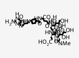 CNC(=O)C[C@@H](NC(=O)[C@H](CCC(=O)O)NC(=O)C[C@@H](NC(=O)CC[C@H](NC(=O)c1ccc(NCc2cnc3nc(N)[nH]c(=O)c3n2)cc1)C(=O)O)[C@@H](O)[C@H](O)[C@H](O)CO)[C@@H](O)[C@H](O)[C@H](O)CO